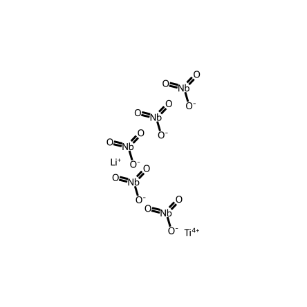 [Li+].[O]=[Nb](=[O])[O-].[O]=[Nb](=[O])[O-].[O]=[Nb](=[O])[O-].[O]=[Nb](=[O])[O-].[O]=[Nb](=[O])[O-].[Ti+4]